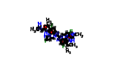 CNCC(=O)NC(CC(C)C)C(=O)N1CC(F)CC1Cn1c(-c2nc3cc(F)ccc3n2CC2CC(F)CN2C(=O)C(CC(C)C)NC(=O)CNC)nc2cc(F)ccc21